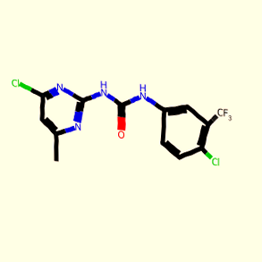 Cc1cc(Cl)nc(NC(=O)Nc2ccc(Cl)c(C(F)(F)F)c2)n1